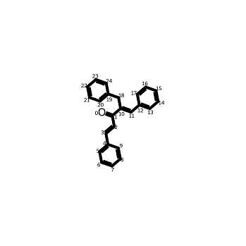 O=C(C=Cc1ccccc1)C(=Cc1ccccc1)Cc1ccccc1